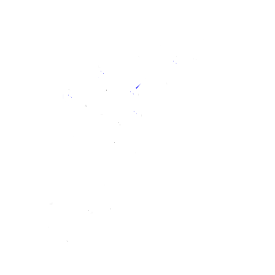 C=CC(=O)N1CC[C@H](n2nc(-c3ccc(Oc4ccccc4)cc3)c(C(N)=O)c2N)C1